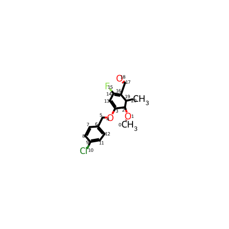 COC1C(OCc2ccc(Cl)cc2)=CC(F)=C(C=O)C1C